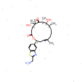 C/C1=C\C[C@@H](c2ccc3sc(CN)nc3c2)OC(=O)C[C@H](O)C(C)(C)C(=O)[C@H](C)[C@@H](O)[C@@H](C)CCC1